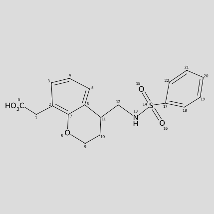 O=C(O)Cc1cccc2c1OCCC2CNS(=O)(=O)c1ccccc1